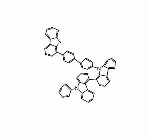 c1ccc(-n2c3ccccc3c3c(-c4cccc5c6ccccc6n(-c6ccc(-c7ccc(-c8cccc9c8sc8ccccc89)cc7)cc6)c45)cccc32)cc1